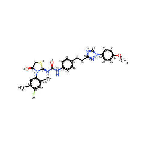 Cc1cc(N2C(=O)CSC2=NC(=O)Nc2ccc(CCc3ncn(-c4ccc(OC(F)(F)F)cc4)n3)cc2)c(C(C)C)cc1F